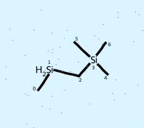 C[SiH2]C[Si](C)(C)C